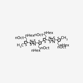 CCCCCCCCC(CCCCCC)Cc1cc(C)sc1-c1nc2sc(-c3sc(-c4cc(CC(CCCCCC)CCCCCCCC)c(-c5nc6sc(-c7sc(C)cc7CC(CCCCCC)CCCCCCCC)nc6s5)s4)cc3CC(CCCCCC)CCCCCCCC)nc2s1